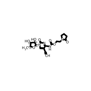 C#Cc1cn([C@@H]2O[C@H](C)[C@@H](O)[C@H]2O)c(=O)nc1NC(=O)OCCN1CCCC1=O